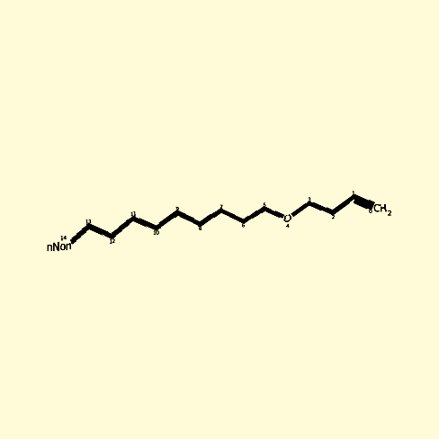 C=CCCOCCCCCCCCCCCCCCCCCC